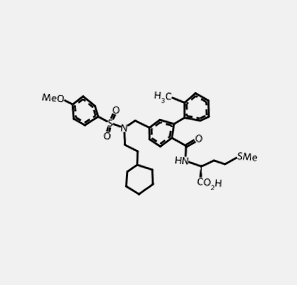 COc1ccc(S(=O)(=O)N(CCC2CCCCC2)Cc2ccc(C(=O)N[C@@H](CCSC)C(=O)O)c(-c3ccccc3C)c2)cc1